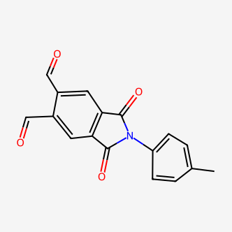 Cc1ccc(N2C(=O)c3cc(C=O)c(C=O)cc3C2=O)cc1